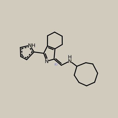 C(/NC1CCCCCCC1)=C1\N=C(c2ccc[nH]2)C2=C1CCCC2